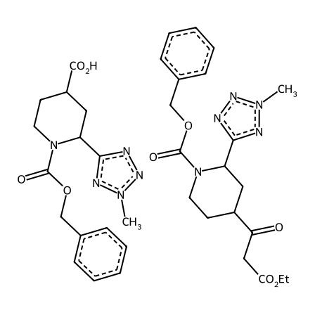 CCOC(=O)CC(=O)C1CCN(C(=O)OCc2ccccc2)C(c2nnn(C)n2)C1.Cn1nnc(C2CC(C(=O)O)CCN2C(=O)OCc2ccccc2)n1